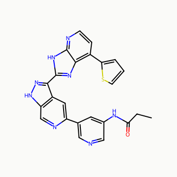 CCC(=O)Nc1cncc(-c2cc3c(-c4nc5c(-c6cccs6)ccnc5[nH]4)n[nH]c3cn2)c1